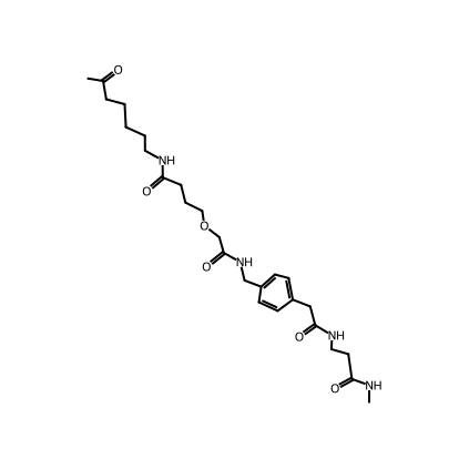 CNC(=O)CCNC(=O)Cc1ccc(CNC(=O)COCCCC(=O)NCCCCCC(C)=O)cc1